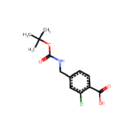 CC(C)(C)OC(=O)NCc1ccc(C(=O)O)c(Cl)c1